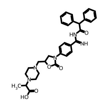 CC(C(=O)O)N1CCN(CC2CN(c3ccc(C(=N)NC(=O)C(c4ccccc4)c4ccccc4)cc3)C(=O)O2)CC1